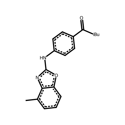 CCC(C)C(=O)c1ccc(Nc2nc3c(C)cccc3o2)cc1